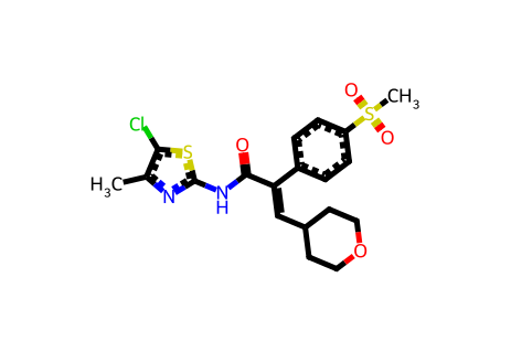 Cc1nc(NC(=O)/C(=C/C2CCOCC2)c2ccc(S(C)(=O)=O)cc2)sc1Cl